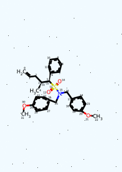 C=CC[C@H](C)[C@@H](c1ccccc1)S(=O)(=O)N(Cc1ccc(OC)cc1)Cc1ccc(OC)cc1